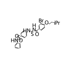 CC(C)CCOc1ccc(C(=O)NC(=S)Nc2ccc(S(=O)(=O)Nc3ccccc3)cc2)cc1Br